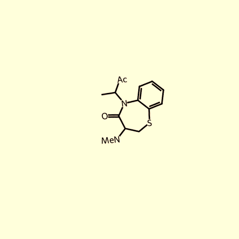 CNC1CSc2ccccc2N(C(C)C(C)=O)C1=O